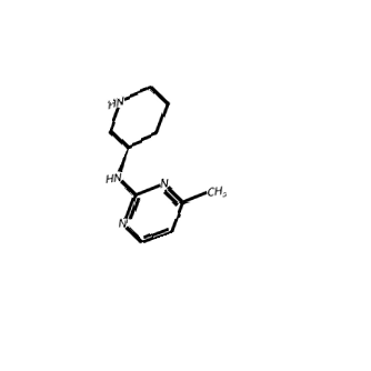 Cc1ccnc(N[C@@H]2CCCNC2)n1